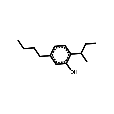 CCCCc1ccc(C(C)CC)c(O)c1